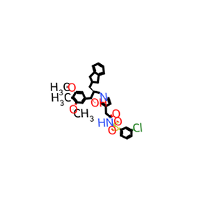 COc1cc([C@@H](O)[C@@H](CC2Cc3ccccc3C2)Cn2ccc(CC(=O)NS(=O)(=O)c3cccc(Cl)c3)c2)cc(OC)c1C